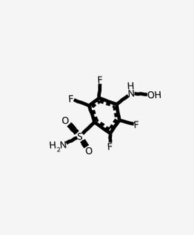 NS(=O)(=O)c1c(F)c(F)c(NO)c(F)c1F